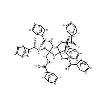 O=C(OCC(COC(=O)C1CC2C=CC1C2)(COC(=O)C1CC2C=CC1C2)OC(COC(=O)C1CC2C=CC1C2)(COC(=O)C1CC2C=CC1C2)COC(=O)C1CC2C=CC1C2)C1CC2C=CC1C2